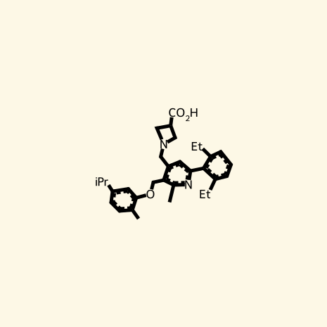 CCc1cccc(CC)c1-c1cc(CN2CC(C(=O)O)C2)c(COc2cc(C(C)C)ccc2C)c(C)n1